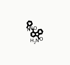 NC(=O)C1c2ccccc2-c2c(C(=O)n3ncc4ccccc43)cccc21